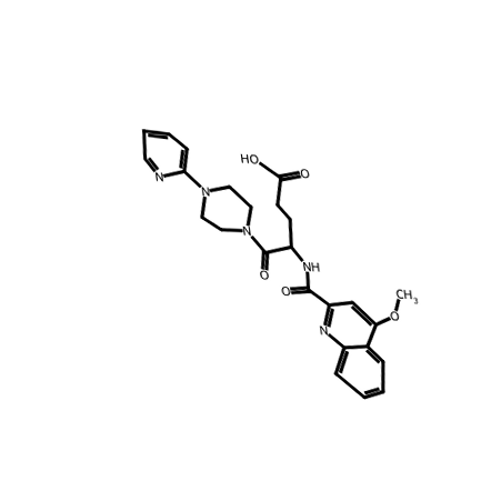 COc1cc(C(=O)NC(CCC(=O)O)C(=O)N2CCN(c3ccccn3)CC2)nc2ccccc12